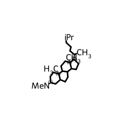 CN[C@H]1CC[C@@]2(C)C(CCC3C2CC[C@@]2(C)C3CC[C@@H]2C(C)CCCC(C)C)C1